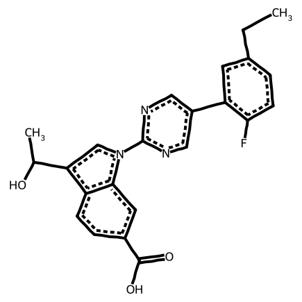 CCc1ccc(F)c(-c2cnc(-n3cc(C(C)O)c4ccc(C(=O)O)cc43)nc2)c1